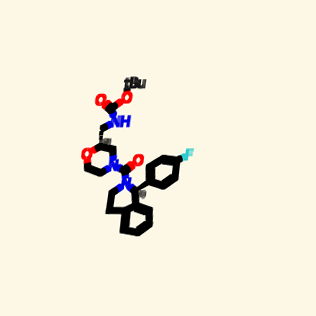 CC(C)(C)OC(=O)NC[C@@H]1CN(C(=O)N2CCc3ccccc3[C@@H]2c2ccc(F)cc2)CCO1